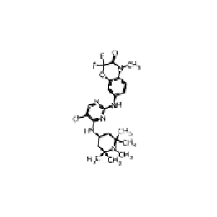 CN1C(=O)C(F)(F)Oc2cc(Nc3ncc(Cl)c(NC4CC(C)(C)N(C)C(C)(C)C4)n3)ccc21